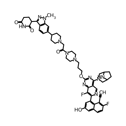 C#Cc1c(F)ccc2cc(O)cc(-c3ncc4c(N5CC6CCC(C5)N6)nc(OCCCN5CCN(C(=O)CN6CCC(c7ccc8c(C9CCC(=O)NC9=O)nn(C)c8c7)CC6)CC5)nc4c3F)c12